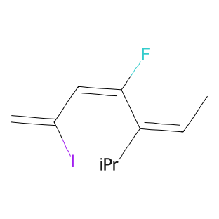 C=C(I)/C=C(F)\C(=C/C)C(C)C